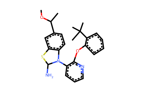 COC(C)c1ccc2c(c1)SC(N)N2c1cccnc1Oc1ccccc1C(C)(C)C